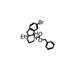 CC[C@]12CCCN(C(=O)OCc3ccccc3)[C@H]1c1cc(Br)ccc1C2